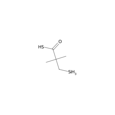 CC(C)(C[SiH3])C(=O)S